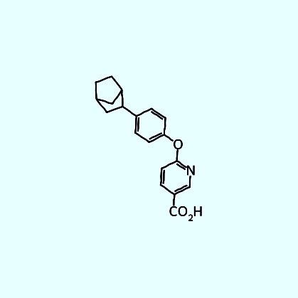 O=C(O)c1ccc(Oc2ccc(C3CC4CCC3C4)cc2)nc1